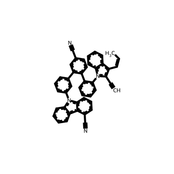 C#Cc1c(/C=C\C)c2ccccc2n1-c1ccccc1-c1ccc(C#N)cc1-c1cccc(-n2c3ccccc3c3c(C#N)cccc32)c1